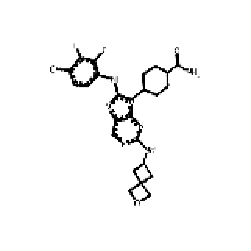 NC(=O)C1CCC(n2c(Nc3ccc(Cl)c(F)c3F)nc3cnc(NC4CC5(COC5)C4)nc32)CC1